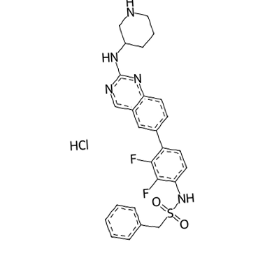 Cl.O=S(=O)(Cc1ccccc1)Nc1ccc(-c2ccc3nc(NC4CCCNC4)ncc3c2)c(F)c1F